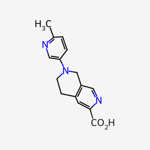 Cc1ccc(N2CCc3cc(C(=O)O)ncc3C2)cn1